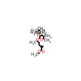 CCOC(=O)C1CC1CC[C@@H](C)O[C@@H]1O[C@@H](C)[C@H](C)C[C@H]1O[Si](C)(C)C(C)(C)C